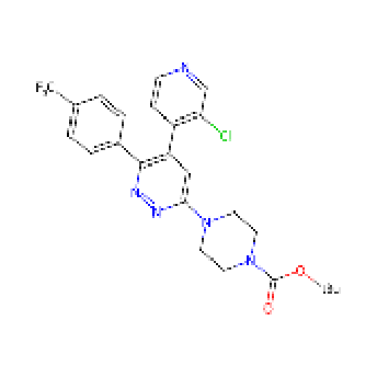 CC(C)(C)OC(=O)N1CCN(c2cc(-c3ccncc3Cl)c(-c3ccc(C(F)(F)F)cc3)nn2)CC1